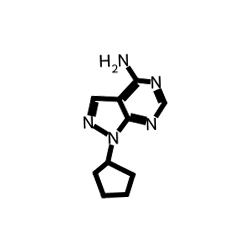 Nc1ncnc2c1cnn2C1CCCC1